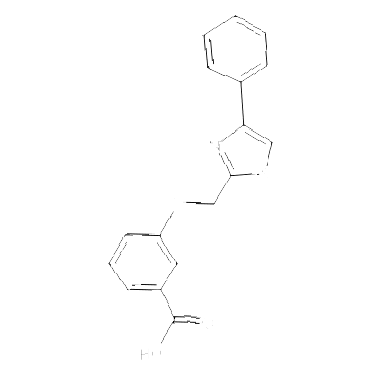 O=C(O)c1cccc(OCc2nc(-c3ccccc3)cs2)c1